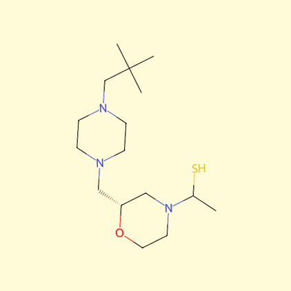 CC(S)N1CCO[C@H](CN2CCN(CC(C)(C)C)CC2)C1